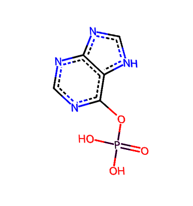 O=P(O)(O)Oc1ncnc2nc[nH]c12